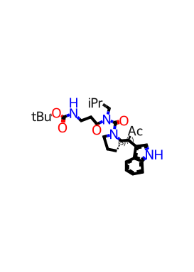 CC(=O)[C@@H](c1c[nH]c2ccccc12)[C@@H]1CCCN1C(=O)N(CC(C)C)C(=O)CCNC(=O)OC(C)(C)C